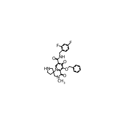 CN1CC2(CCNC2)n2cc(C(=O)NCc3ccc(F)cc3F)c(=O)c(OCc3ccccc3)c2C1=O